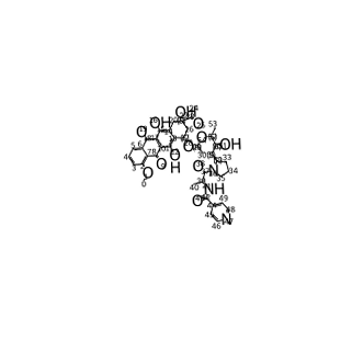 COc1cccc2c1C(=O)c1c(O)c3c(c(O)c1C2=O)C[C@@](O)(C(C)=O)C[C@@H]3O[C@H]1C[C@@H]([C@H]2CCCN2C(=O)C(C)NC(=O)c2ccncc2)[C@H](O)[C@H](C)O1